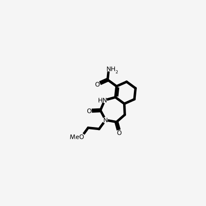 COCCN1C(=O)CC2CCCC(C(N)=O)=C2NC1=O